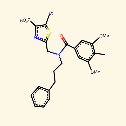 CCc1sc(CN(CCCc2ccccc2)C(=O)c2cc(OC)c(C)c(OC)c2)nc1C(=O)O